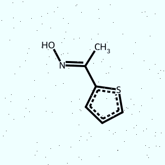 CC(=NO)c1cccs1